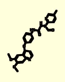 COc1cc2nccc(Oc3ccc(NC(=O)NN(C=O)c4ccc(C)cn4)cc3)c2cc1OC